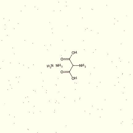 N.N.NC(C(=O)O)C(=O)O